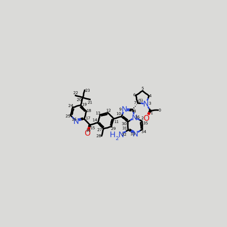 CC(=O)N1CCC[C@H]1c1nc(-c2ccc(C(=O)c3cc(C(C)(C)C)ccn3)c(C)c2)c2c(N)nccn12